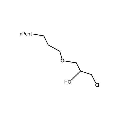 CCCCCCCCOCC(O)CCl